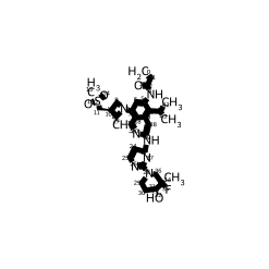 C=CC(=O)Nc1cc(N2C[C@H](CS(C)(=O)=O)[C@H]2C)c2cnc(Nc3ccnc(N4CC[C@@H](O)[C@@](C)(F)C4)n3)cc2c1C(C)C